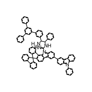 N=C(NC(c1ccccc1)C(N)c1cccc(-c2cc(-c3ccccc3)cc(-c3ccccc3)c2)c1)n1c2ccc(-c3ccc4c(c3)c3ccccc3n4-c3ccccc3)cc2c2ccc3c(c21)-c1ccccc1C31c2ccccc2-c2ccccc21